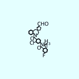 Cc1ccc(F)cc1C(=O)Nc1ccc(C(=O)N2CCC3(C=C(C=O)CC3)Cc3ccccc32)c(Cl)c1